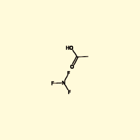 CC(=O)O.FN(F)F